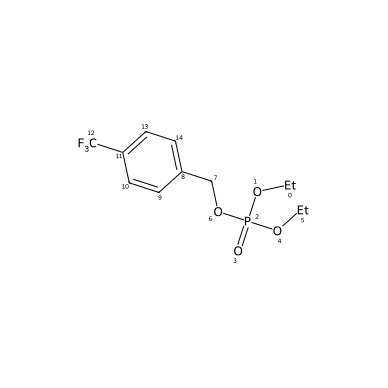 CCOP(=O)(OCC)OCc1ccc(C(F)(F)F)cc1